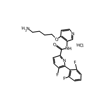 Cl.NCCCCOc1ccncc1NC(=O)c1ccc(F)c(-c2c(F)cccc2F)n1